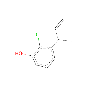 [CH2]C(C=C)c1cccc(O)c1Cl